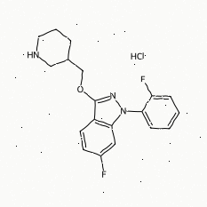 Cl.Fc1ccc2c(OCC3CCCNC3)nn(-c3ccccc3F)c2c1